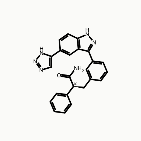 NC(=O)[C@@H](Cc1cccc(-c2n[nH]c3ccc(-c4cnn[nH]4)cc23)c1)c1ccccc1